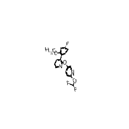 COc1cc(F)ccc1-c1cccnc1Oc1ccc(OC(F)F)nc1